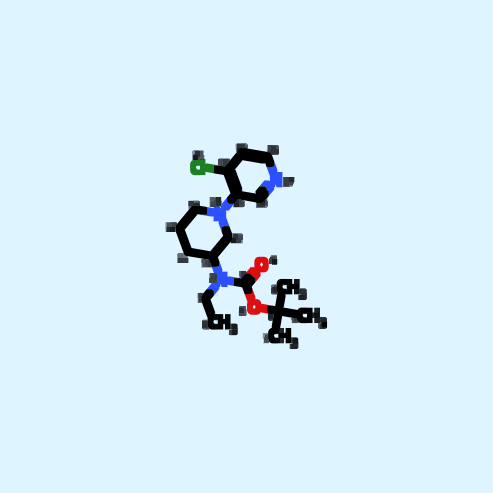 CCN(C(=O)OC(C)(C)C)C1CCCN(c2cnccc2Cl)C1